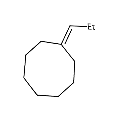 CCC=C1CCCCCCC1